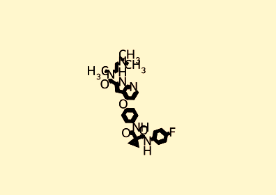 CN(C)CCN(C)C(=O)c1cc2c(Oc3ccc(NC(=O)C4(C(=O)Nc5ccc(F)cc5)CC4)cc3)ccnc2[nH]1